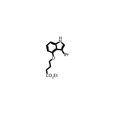 CCOC(=O)CCCOc1cccc2[nH]cc(C(C)C)c12